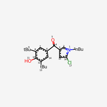 CCCCn1cc(C(=O)c2cc(C(C)(C)C)c(O)c(C(C)(C)C)c2)cc1Cl